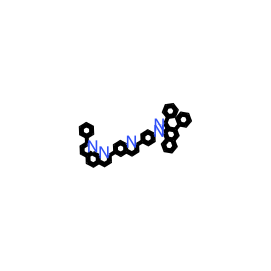 c1ccc(-c2ccc3ccc4ccc(-c5ccc6nc(-c7ccc(-n8nc(-c9ccccc9)c9c(-c%10ccccc%10)cc%10ccccc%10c98)cc7)ccc6c5)nc4c3n2)cc1